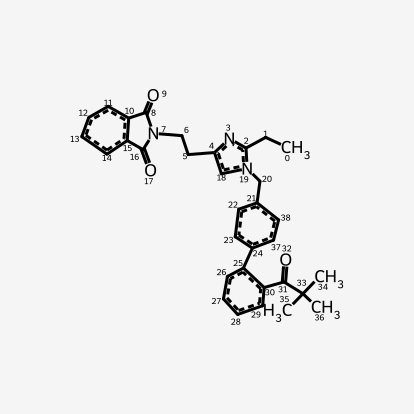 CCc1nc(CCN2C(=O)c3ccccc3C2=O)cn1Cc1ccc(-c2ccccc2C(=O)C(C)(C)C)cc1